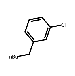 CCCCCc1cccc(Cl)c1